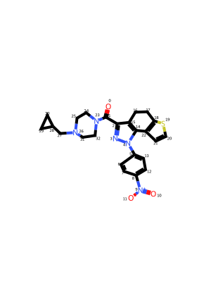 O=C(c1nn(-c2ccc([N+](=O)[O-])cc2)c2c1CCc1sccc1-2)N1CCN(CC2CC2)CC1